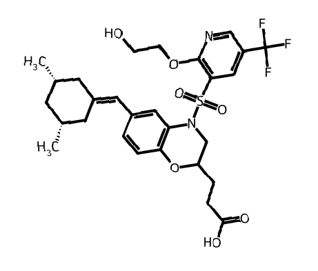 C[C@@H]1C/C(=C/c2ccc3c(c2)N(S(=O)(=O)c2cc(C(F)(F)F)cnc2OCCO)CC(CCC(=O)O)O3)C[C@H](C)C1